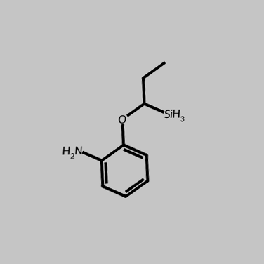 CCC([SiH3])Oc1ccccc1N